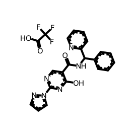 O=C(NC(c1ccccc1)c1ccccn1)c1cnc(-n2cccn2)nc1O.O=C(O)C(F)(F)F